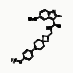 COc1ccn2nc(C)c(C(=O)NCC3CC4(CCN(c5ccc(OC(F)(F)F)cc5)CC4)C3)c2c1